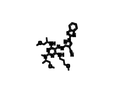 COCCCNc1nc(N(C)C(C)COC)nc(NC(C)COC)c1N=Nc1nn(-c2nc3ccccc3s2)cc1C#N